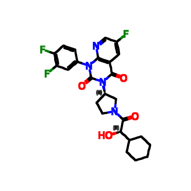 O=C([C@H](O)C1CCCCC1)N1CC[C@@H](n2c(=O)c3cc(F)cnc3n(-c3ccc(F)c(F)c3)c2=O)C1